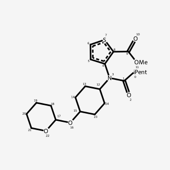 CCCC(C)C(=O)N(c1ccsc1C(=O)OC)C1CCC(OC2CCCCO2)CC1